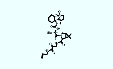 C=CCNC(=O)C(=O)CNC(=O)C1C2C(CN1C(=O)[C@@H](NC(=O)NC1([C@@H]3CCCS3(=O)=O)CCCCC1)C(C)(C)C)C2(C)C